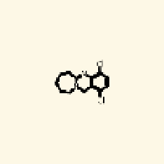 Clc1ccc(Cl)c2c1CN1CCCCCC1=N2